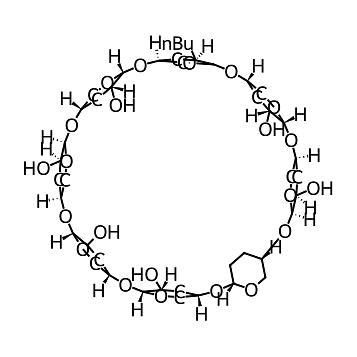 CCCC[C@@H]1C[C@H]2COC1O[C@@H]1CO[C@H](O[C@@H]3CO[C@H](O[C@H]4CC[C@H](OC4)O[C@@H]4CO[C@H](O[C@@H]5CO[C@H](O[C@@H]6CO[C@H](O[C@@H]7CO[C@H](O2)[C@H](O)C7)[C@H](O)C6)C(O)C5)[C@H](O)C4)[C@H](O)C3)[C@H](O)C1